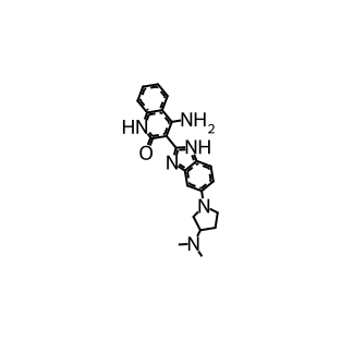 CN(C)C1CCN(c2ccc3[nH]c(-c4c(N)c5ccccc5[nH]c4=O)nc3c2)C1